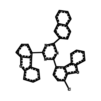 Clc1ccc(-c2nc(-c3ccc4ccccc4c3)nc(-c3cccc4oc5ccccc5c34)n2)c2c1oc1ccccc12